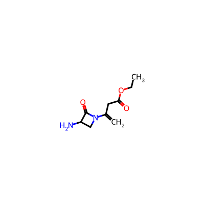 C=C(CC(=O)OCC)N1CC(N)C1=O